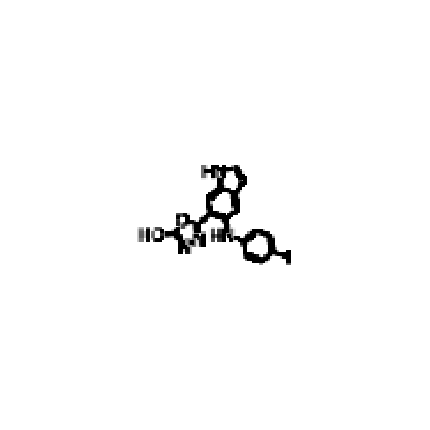 Oc1nnc(-c2cc3[nH]ccc3cc2Nc2ccc(I)cc2)o1